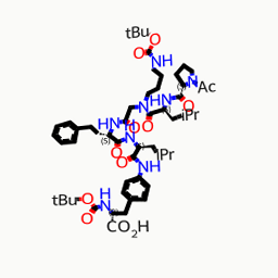 CC(=O)N1CCC[C@H]1C(=O)N[C@@H](CC(C)C)C(=O)N(CCCCNC(=O)OC(C)(C)C)CC(=O)N[C@@H](CCc1ccccc1)C(=O)N[C@@H](CC(C)C)C(=O)Nc1ccc(C[C@@H](NC(=O)OC(C)(C)C)C(=O)O)cc1